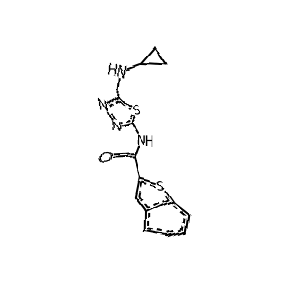 O=C(Nc1nnc(NC2CC2)s1)c1cc2ccccc2s1